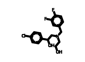 OCCN(Cc1ccc(F)c(F)c1)CC(O)c1ccc(Cl)cc1